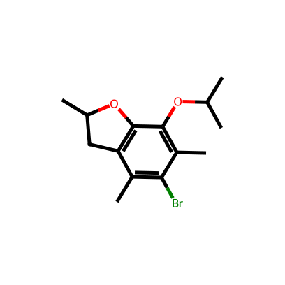 Cc1c(Br)c(C)c(OC(C)C)c2c1CC(C)O2